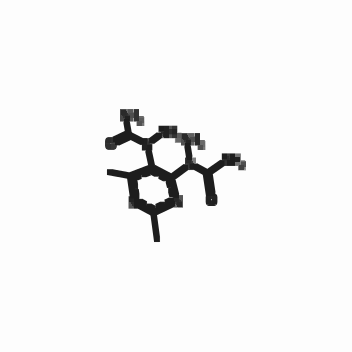 Cc1nc(C)c(N(N)C(N)=O)c(N(N)C(N)=O)n1